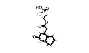 O=C(Cc1cc(=O)oc2ccccc12)OCOP(=O)(O)O